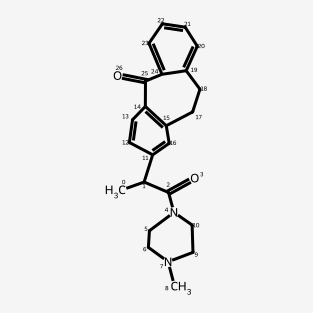 CC(C(=O)N1CCN(C)CC1)c1ccc2c(c1)CCc1ccccc1C2=O